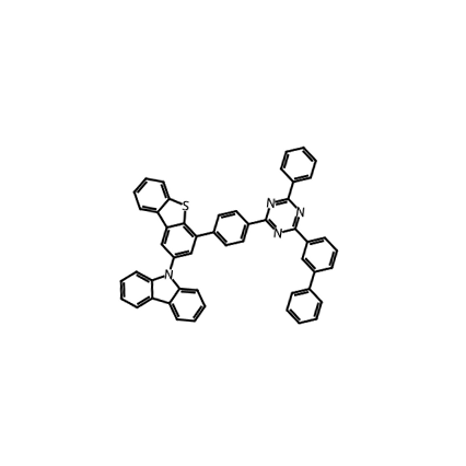 c1ccc(-c2cccc(-c3nc(-c4ccccc4)nc(-c4ccc(-c5cc(-n6c7ccccc7c7ccccc76)cc6c5sc5ccccc56)cc4)n3)c2)cc1